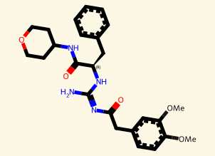 COc1ccc(CC(=O)N=C(N)N[C@H](Cc2ccccc2)C(=O)NC2CCOCC2)cc1OC